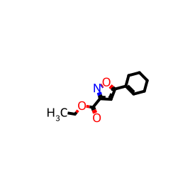 CCOC(=O)c1cc(C2=CCCCC2)on1